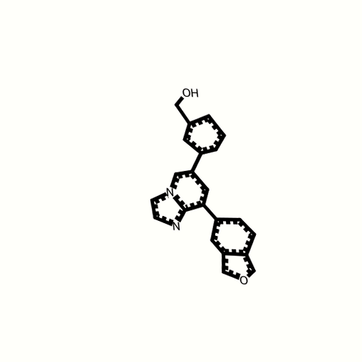 OCc1cccc(-c2cc(-c3ccc4cocc4c3)c3nccn3c2)c1